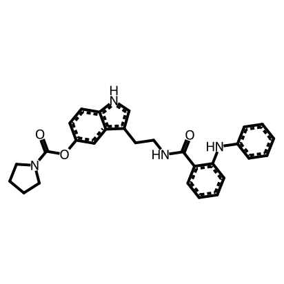 O=C(NCCc1c[nH]c2ccc(OC(=O)N3CCCC3)cc12)c1ccccc1Nc1ccccc1